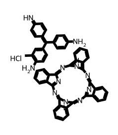 Cc1cc(C(=C2C=CC(=N)C=C2)c2ccc(N)cc2)ccc1N.Cl.c1ccc2c(c1)-c1nc-2nc2[nH]c(nc3nc(nc4[nH]c(n1)c1ccccc41)-c1ccccc1-3)c1ccccc21